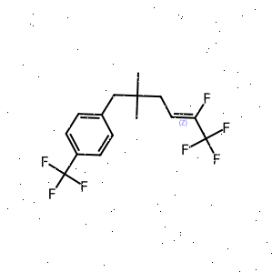 CC(C)(C/C=C(\F)C(F)(F)F)Cc1ccc(C(F)(F)F)cc1